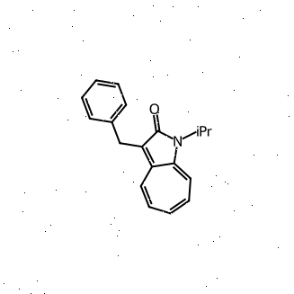 CC(C)n1c2cccccc-2c(Cc2ccccc2)c1=O